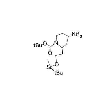 CC(C)(C)OC(=O)N1CC[C@H](N)C[C@H]1CCO[Si](C)(C)C(C)(C)C